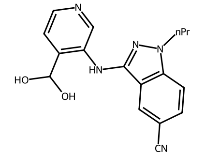 CCCn1nc(Nc2cnccc2C(O)O)c2cc(C#N)ccc21